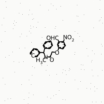 CN(C(=O)COc1ccc([N+](=O)[O-])c(C=O)c1)C(c1ccccc1)c1ccccc1